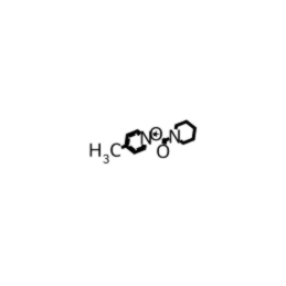 Cc1cc[n+](OC(=O)N2CCCCC2)cc1